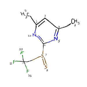 Cc1cc(C)nc(S(=S)C(F)(F)F)n1